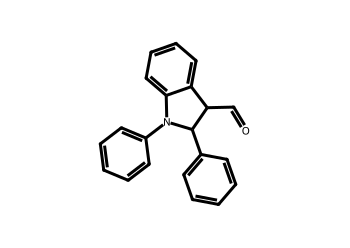 O=CC1c2ccccc2N(c2ccccc2)C1c1ccccc1